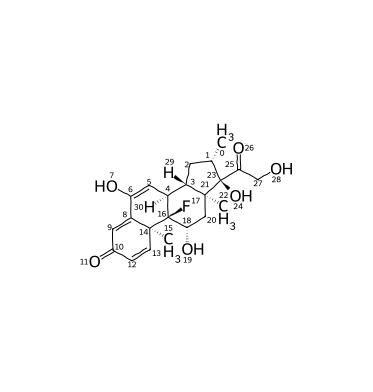 C[C@H]1C[C@H]2[C@@H]3C=C(O)C4=CC(=O)C=C[C@]4(C)[C@@]3(F)[C@@H](O)C[C@]2(C)[C@@]1(O)C(=O)CO